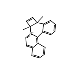 CC12C=CC1(C)[n+]1ccc3ccccc3c1-c1ccccc12